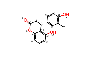 Cc1cc([C@H]2CC(=O)Oc3cccc(O)c32)ccc1O